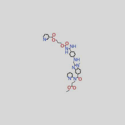 CCOC(=O)CCN(C(=O)c1ccc2c(c1)nc(CNc1ccc(C(=N)NC(=O)OCCCOC(=O)c3cccnc3)cc1)n2C)c1ccccn1